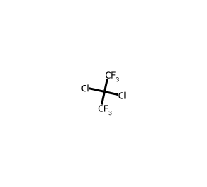 FC(F)(F)C(Cl)(Cl)C(F)(F)F